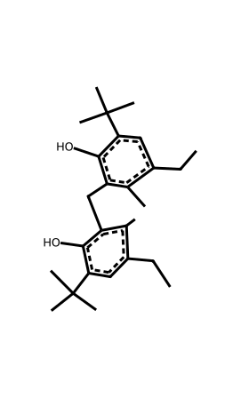 CCc1cc(C(C)(C)C)c(O)c(Cc2c(C)c(CC)cc(C(C)(C)C)c2O)c1C